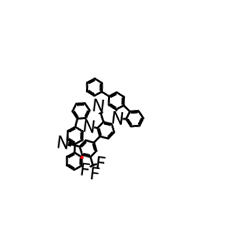 N#Cc1cc(-c2ccc(-n3c4ccccc4c4ccc(-c5ccccc5)cc43)c(C#N)c2-n2c3ccccc3c3ccc(-c4ccccc4)cc32)cc(C(F)(F)F)c1